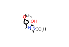 CC(c1ccc(OC(F)(F)F)cc1)N1C[C@H](C)N(C(=O)O)C[C@H]1CO